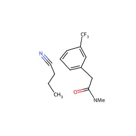 CCCC#N.CNC(=O)Cc1cccc(C(F)(F)F)c1